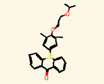 Cc1cc(-[s+]2c3ccccc3c(=O)c3ccccc32)cc(C)c1OCCOC(C)C